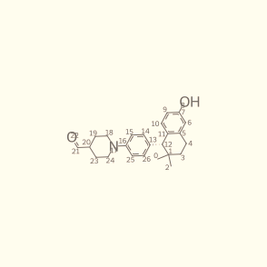 CC1(C)CCc2cc(O)ccc2[C@H]1c1ccc(N2CCC(C=O)CC2)cc1